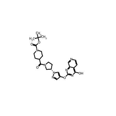 CC(C)(C)OC(=O)N1CCC(C(=O)N2CC[C@H](n3cc(Oc4nc(O)c5ccncc5n4)cn3)C2)CC1